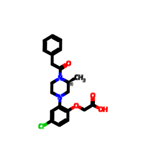 C[C@H]1CN(c2cc(Cl)ccc2OCC(=O)O)CCN1C(=O)Cc1ccccc1